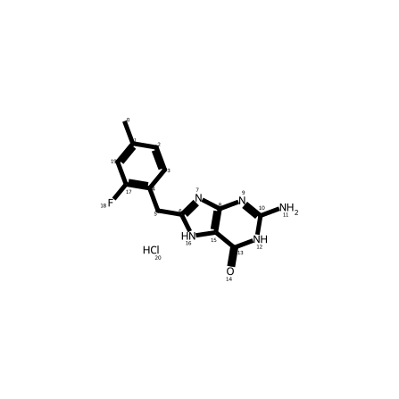 Cc1ccc(Cc2nc3nc(N)[nH]c(=O)c3[nH]2)c(F)c1.Cl